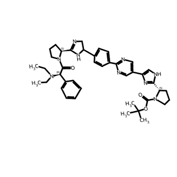 CCN(CC)[C@@H](C(=O)N1CCC[C@H]1C1=NCC(c2ccc(-c3ncc(-c4c[nH]c([C@@H]5CCCN5C(=O)OC(C)(C)C)n4)cn3)cc2)N1)c1ccccc1